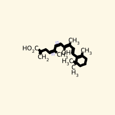 C=C(C/C=C(C)\C=C/C(O)=C(C)C=CC1=C(C)CCCC1(C)C)C(=O)O